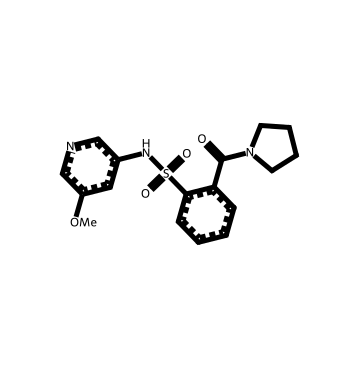 COc1cncc(NS(=O)(=O)c2ccccc2C(=O)N2CCCC2)c1